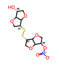 O=[N+]([O-])O[C@@H]1COC2C1OC[C@@H]2SS[C@H]1COC2C1OC[C@H]2O